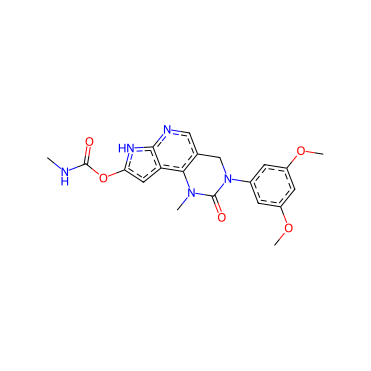 CNC(=O)Oc1cc2c3c(cnc2[nH]1)CN(c1cc(OC)cc(OC)c1)C(=O)N3C